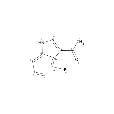 CC(=O)c1n[nH]c2cccc(Br)c12